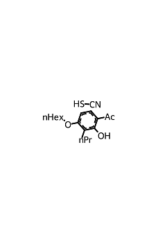 CCCCCCOc1ccc(C(C)=O)c(O)c1CCC.N#CS